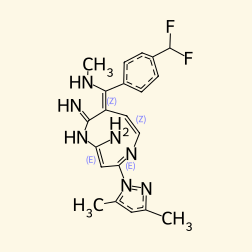 CN/C(=C1/C=C\N=C(n2nc(C)cc2C)/C=C(\N)NC1=N)c1ccc(C(F)F)cc1